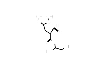 CCC(C)OC(=O)C(CC(OC)OC)C(=O)O